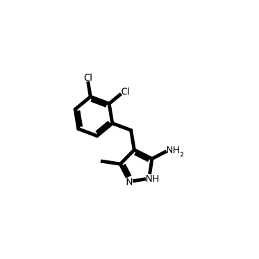 Cc1n[nH]c(N)c1Cc1cccc(Cl)c1Cl